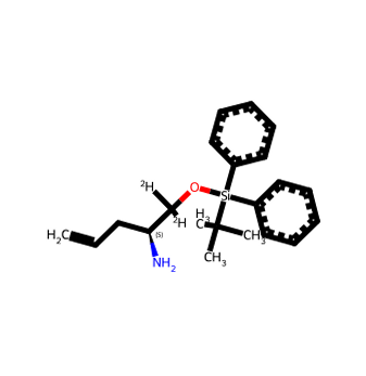 [2H]C([2H])(O[Si](c1ccccc1)(c1ccccc1)C(C)(C)C)[C@@H](N)CC=C